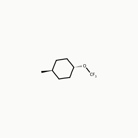 C[C@H]1CC[C@H](OC(F)(F)F)CC1